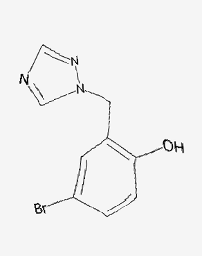 Oc1ccc(Br)cc1Cn1cncn1